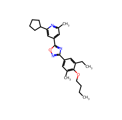 CCCCOc1c(C)cc(-c2noc(-c3cc(C)nc(C4CCCC4)c3)n2)cc1CC